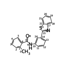 Cc1ccccc1C(=O)Nc1cccc(-c2nc3ccccc3s2)c1